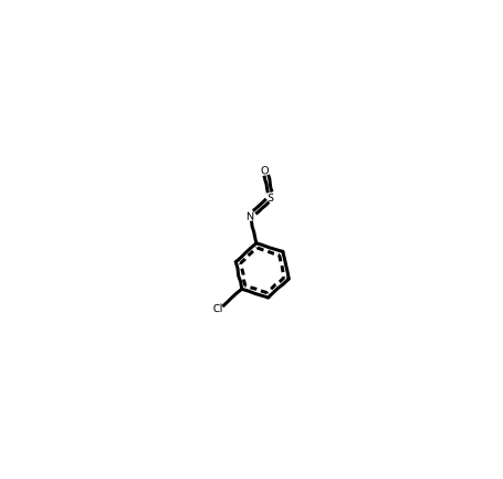 O=S=Nc1cccc(Cl)c1